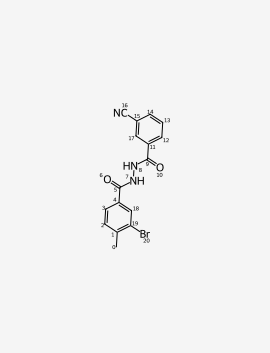 Cc1ccc(C(=O)NNC(=O)c2cccc(C#N)c2)cc1Br